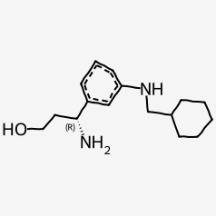 N[C@H](CCO)c1cccc(NCC2CCCCC2)c1